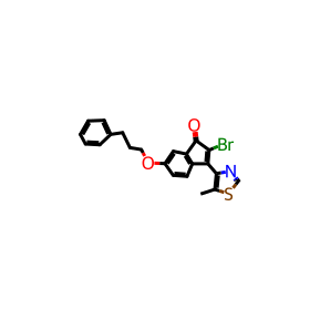 Cc1scnc1C1=C(Br)C(=O)c2cc(OCCCc3ccccc3)ccc21